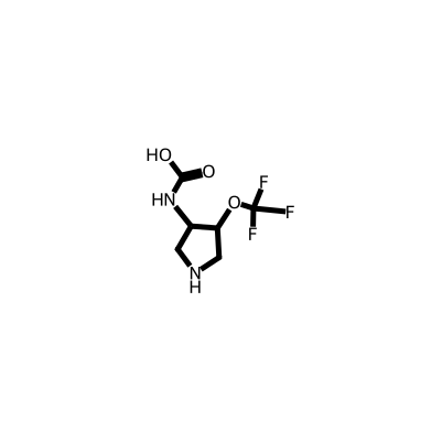 O=C(O)NC1CNCC1OC(F)(F)F